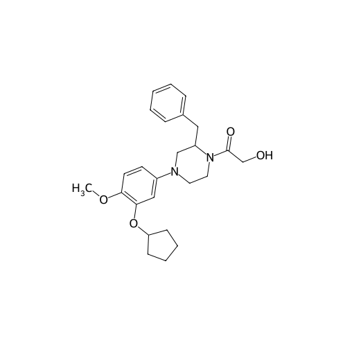 COc1ccc(N2CCN(C(=O)CO)C(Cc3ccccc3)C2)cc1OC1CCCC1